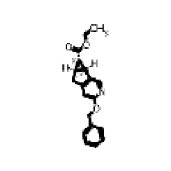 CCOC(=O)[C@H]1[C@@H]2Cc3cc(OCc4ccccc4)ncc3[C@@H]21